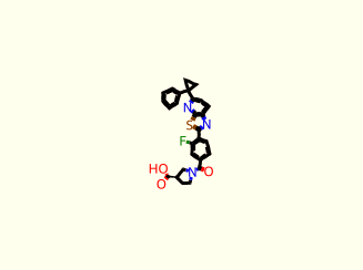 O=C(O)[C@@H]1CCN(C(=O)c2ccc(-c3nc4ccc(C5(c6ccccc6)CC5)nc4s3)c(F)c2)C1